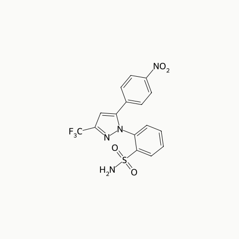 NS(=O)(=O)c1ccccc1-n1nc(C(F)(F)F)cc1-c1ccc([N+](=O)[O-])cc1